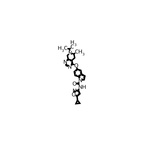 CC(C)N1Cc2ncnc(Oc3ccc4c(ccn4C(=O)Nc4cc(C5CC5)on4)c3)c2CC1C